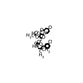 CC(=O)O[C@@H]1[C@@H](COP2(=O)NCC(C)(C)C(c3cccc(Cl)c3)O2)O[C@@H](N2C=CC(=O)CC2=O)[C@]1(C)F